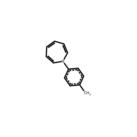 Cc1ccc(N2C=CC=CC=C2)cc1